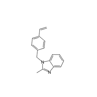 C=Cc1ccc(Cn2c(C)nc3ccccc32)cc1